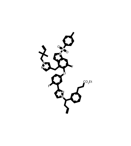 C=CCC(c1cccc(CCC(=O)OCC)c1)n1ccc(-c2cc(Oc3c(F)cc4c(ccn4S(=O)(=O)c4ccc(C)cc4)c3Cc3cnn(CC(C)(C)C=C)c3)ccc2F)n1